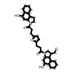 O=C(CCc1ccc(CCC(=O)N2CC(CCl)c3c2cc(O)c2ccccc32)s1)N1CCc2c1cc(O)c1ccccc21